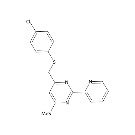 CSc1cc(CSc2ccc(Cl)cc2)nc(-c2ccccn2)n1